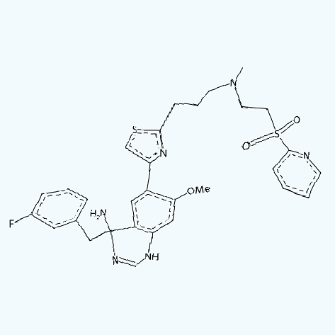 COc1cc2c(cc1-c1csc(CCCN(C)CCS(=O)(=O)c3ccccn3)n1)C(N)(Cc1cccc(F)c1)N=CN2